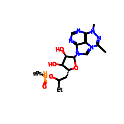 CCC[PH](=O)OC(CC)C[C@H]1OC(n2c[n+]3c4c(ncnc42)N(C)N=C3C)[C@H](O)C1O